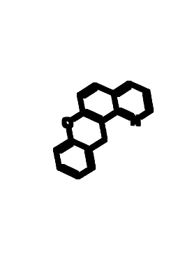 c1ccc2c(c1)Cc1c(ccc3cccnc13)O2